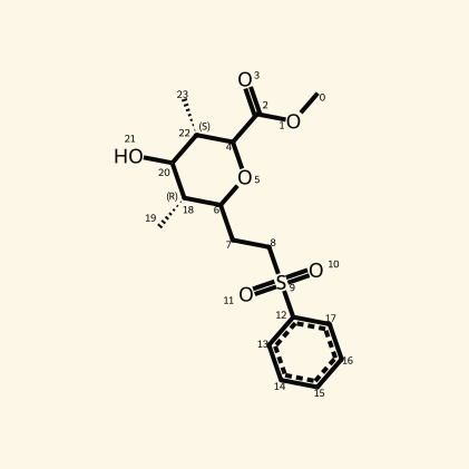 COC(=O)C1OC(CCS(=O)(=O)c2ccccc2)[C@H](C)C(O)[C@@H]1C